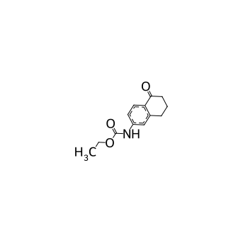 CCOC(=O)Nc1ccc2c(c1)CCCC2=O